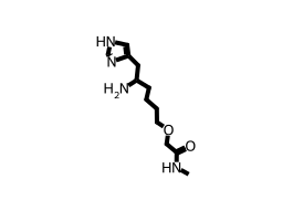 CNC(=O)COCCCCC(N)Cc1c[nH]cn1